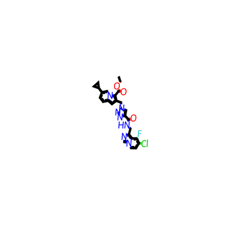 CCOC(=O)c1c(Cn2cc(C(=O)NCc3ncn4ccc(Cl)c(F)c34)nn2)cc2ccc(C3CC3)cn12